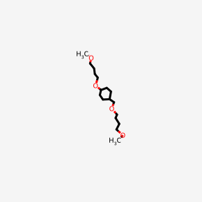 COCCCCOCC1CCC(OCCCCOC)CC1